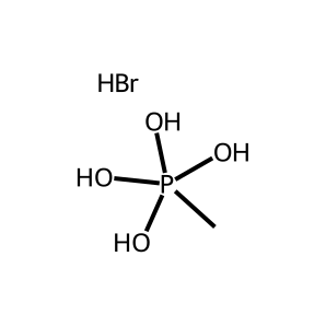 Br.CP(O)(O)(O)O